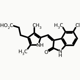 Cc1[nH]c(/C=C2\C(=O)Nc3ccc(Cl)c(C)c32)c(C)c1CCC(=O)O